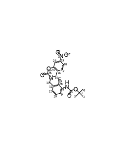 CC(C)(C)OC(=O)Nc1cccc(CN2Cc3ccc([N+](=O)[O-])cc3OC2=O)c1F